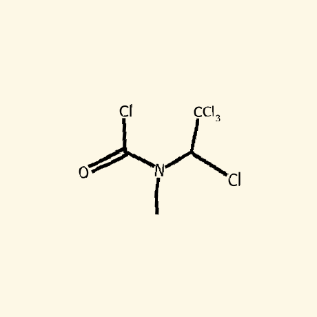 CN(C(=O)Cl)C(Cl)C(Cl)(Cl)Cl